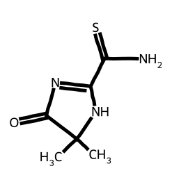 CC1(C)NC(C(N)=S)=NC1=O